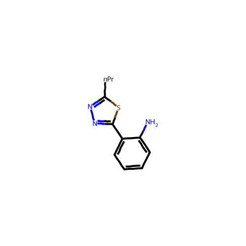 CCCc1nnc(-c2ccccc2N)s1